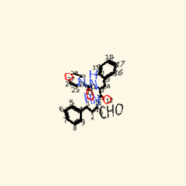 O=C[C@H](CCc1ccccc1)NC(=O)C(Cc1ccccc1)NC(=O)N1CCOCC1